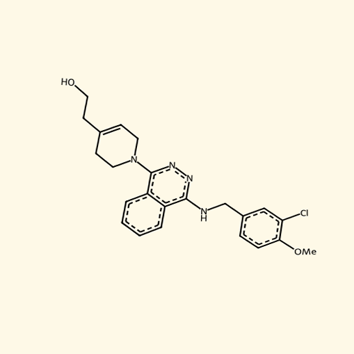 COc1ccc(CNc2nnc(N3CC=C(CCO)CC3)c3ccccc23)cc1Cl